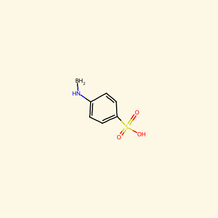 BNc1ccc(S(=O)(=O)O)cc1